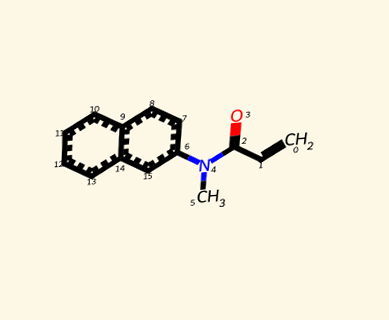 C=CC(=O)N(C)c1ccc2ccccc2c1